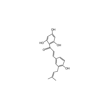 CC(C)=CCc1cc(C=CC(=O)c2c(O)cc(O)cc2O)ccc1O